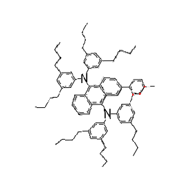 CCCCc1cc(CCCC)cc(N(c2cc(CCCC)cc(CCCC)c2)c2c3ccccc3c(N(c3cc(CCCC)cc(CCCC)c3)c3cc(CCCC)cc(CCCC)c3)c3cc(-c4ccccc4)ccc23)c1